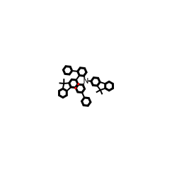 CC1(C)c2ccccc2-c2ccc(-c3c(-c4ccccc4)cccc3N(c3cccc(-c4ccccc4)c3)c3ccc4c(c3)C(C)(C)c3ccccc3-4)cc21